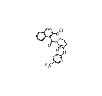 CCOc1ncc2ccccc2c1C(=O)N1CC2CC(Oc3ccc(C(F)(F)F)cn3)[C@H]1C2